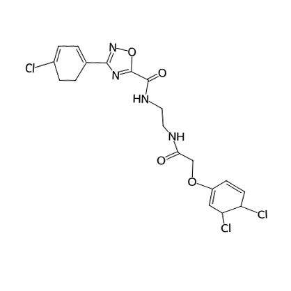 O=C(COC1=CC(Cl)C(Cl)C=C1)NCCNC(=O)c1nc(C2=CC=C(Cl)CC2)no1